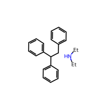 CCNCC.c1ccc(CC(c2ccccc2)c2ccccc2)cc1